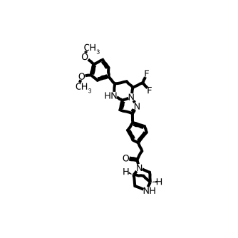 COc1ccc(C2CC(C(F)F)n3nc(-c4ccc(CC(=O)N5C[C@@H]6C[C@H]5CN6)cc4)cc3N2)cc1OC